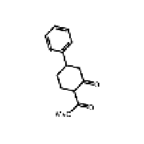 COC(=O)C1CCC(c2ccccn2)CC1=O